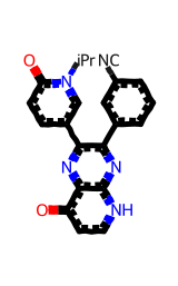 CC(C)n1cc(-c2nc3c(=O)cc[nH]c3nc2-c2cccc(C#N)c2)ccc1=O